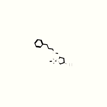 CS(=O)(=O)N1C[C@H](S)C[C@H]1COCCCc1ccccc1